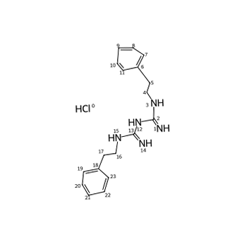 Cl.N=C(NCCc1ccccc1)NC(=N)NCCc1ccccc1